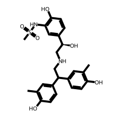 Cc1cc(C(CNC[C@H](O)c2ccc(O)c(NS(C)(=O)=O)c2)c2ccc(O)c(C)c2)ccc1O